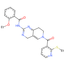 CCOc1ccccc1C(=O)NC1=NCC2=CN(C(=O)c3cccnc3SCC)CCC2=N1